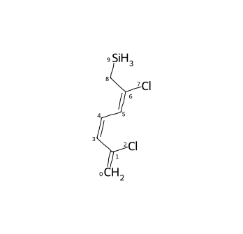 C=C(Cl)/C=C\C=C(\Cl)C[SiH3]